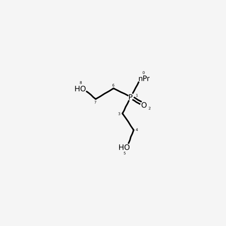 CCCP(=O)(CCO)CCO